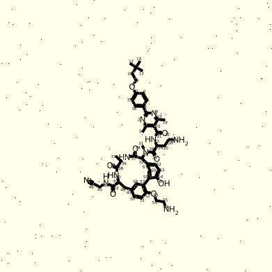 Cc1nc(-c2ccc(OCCC(C)(C)C)cc2)nc(C)c1C(=O)NC(CCN)C(=O)N(C)C1C(=O)NC(C)C(=O)NC(C(=O)NCC#N)Cc2ccc(OCCN)c(c2)-c2cc1ccc2O